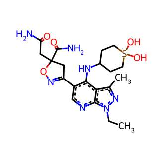 CCn1nc(C)c2c(NC3CCS(O)(O)CC3)c(C3=NOC(CC(N)=O)(C(N)=O)C3)cnc21